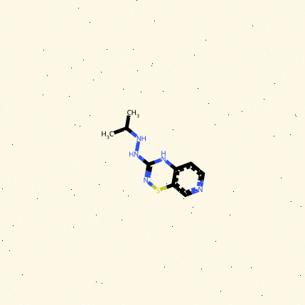 CC(C)NNC1=NSc2cnccc2N1